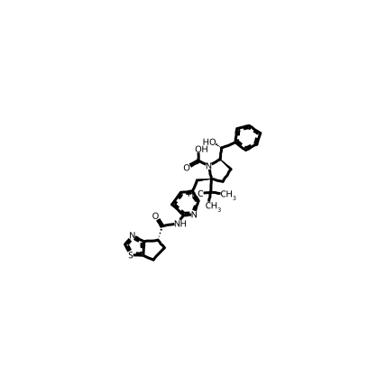 CC(C)(C)[C@@]1(Cc2ccc(NC(=O)[C@@H]3CCc4scnc43)nc2)CC[C@H]([C@H](O)c2ccccc2)N1C(=O)O